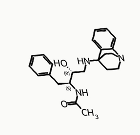 CC(=O)N[C@@H](Cc1ccccc1)[C@H](O)CNC12CCN(CC1)c1ccccc12